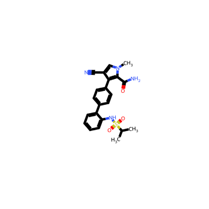 CC(C)S(=O)(=O)Nc1ccccc1-c1ccc(-c2c(C#N)cn(C)c2C(N)=O)cc1